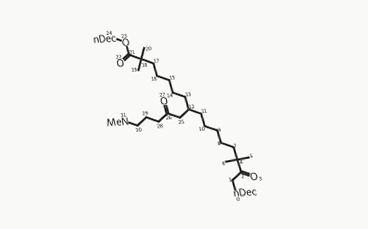 CCCCCCCCCCCC(=O)C(C)(C)CCCCCC(CCCCCC(C)(C)C(=O)OCCCCCCCCCC)CC(=O)CCCNC